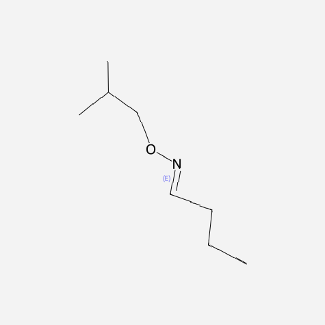 CCC/C=N/OCC(C)C